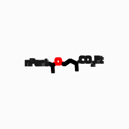 CCCCCC(C)OCC[C@@H](C)C(=O)OCC